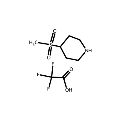 CS(=O)(=O)C1CCNCC1.O=C(O)C(F)(F)F